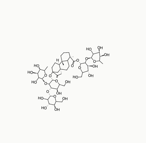 C=C1C[C@@]23CCC4[C@](C)(C(=O)O[C@H]5OC(CO)[C@@H](O)[C@H](O)C5O[C@@H]5OC(C)[C@H](O)[C@H](O)C5O)CCC[C@@]4(C)[C@@H]2CCC1(O[C@@H]1OC(CO)[C@@H](O)[C@H](O[C@@H]2OC(CO)[C@@H](O)[C@H](O)C2O)C1O[C@@H]1OC(C)[C@H](O)[C@H](O)C1O)C3